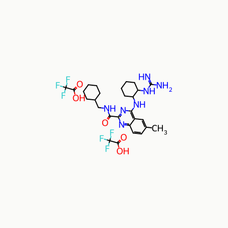 Cc1ccc2nc(C(=O)NCC3CCCCC3)nc(NC3CCCCC3NC(=N)N)c2c1.O=C(O)C(F)(F)F.O=C(O)C(F)(F)F